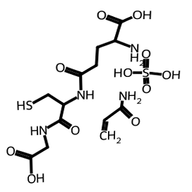 C=CC(N)=O.NC(CCC(=O)NC(CS)C(=O)NCC(=O)O)C(=O)O.O=S(=O)(O)O